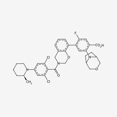 C[C@H]1CCCCN1c1cc(Cl)c(C(=O)N2COc3c(cccc3-c3cc(N4C5CCC4COC5)c(C(=O)O)cc3F)C2)c(Cl)c1